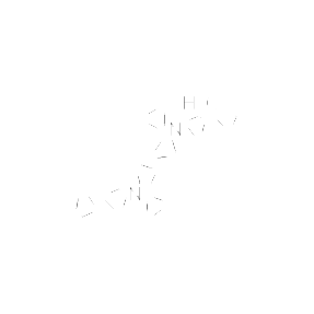 CC1CC=CC=C1c1ccc(-n2c3ccccc3c3cc(-c4ccc5c(c4)c4ccccc4n5-c4ccc(-c5ccccc5)cc4)ccc32)cc1